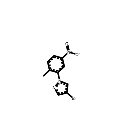 Cc1ccc([N+](=O)[O-])cc1-n1cc(Br)cn1